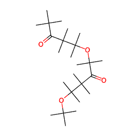 CC(C)(C)OC(C)(C)C(C)(C)C(=O)C(C)(C)OC(C)(C)C(C)(C)C(=O)C(C)(C)C